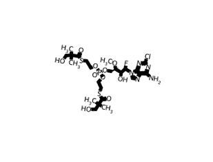 CO[C@H](COP(=O)(OCCSC(=O)C(C)(C)CO)OCCSC(=O)C(C)(C)CO)C(O)C(F)n1cnc2c(N)nc(Cl)nc21